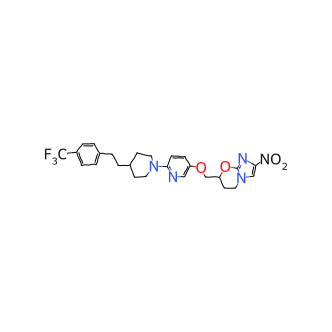 O=[N+]([O-])c1cn2c(n1)OC(COc1ccc(N3CCC(CCc4ccc(C(F)(F)F)cc4)CC3)nc1)CC2